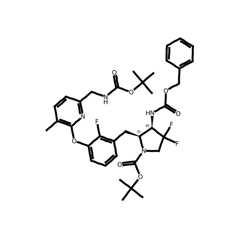 Cc1ccc(CNC(=O)OC(C)(C)C)nc1Oc1cccc(C[C@H]2[C@@H](NC(=O)OCc3ccccc3)C(F)(F)CN2C(=O)OC(C)(C)C)c1F